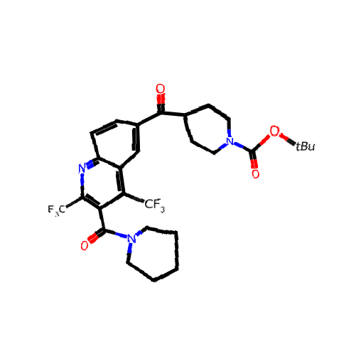 CC(C)(C)OC(=O)N1CCC(C(=O)c2ccc3nc(C(F)(F)F)c(C(=O)N4CCCCC4)c(C(F)(F)F)c3c2)CC1